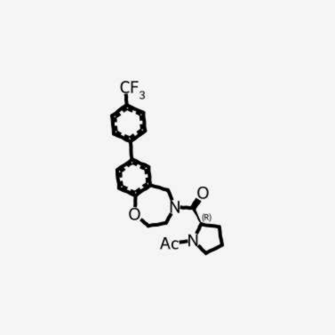 CC(=O)N1CCC[C@@H]1C(=O)N1CCOc2ccc(-c3ccc(C(F)(F)F)cc3)cc2C1